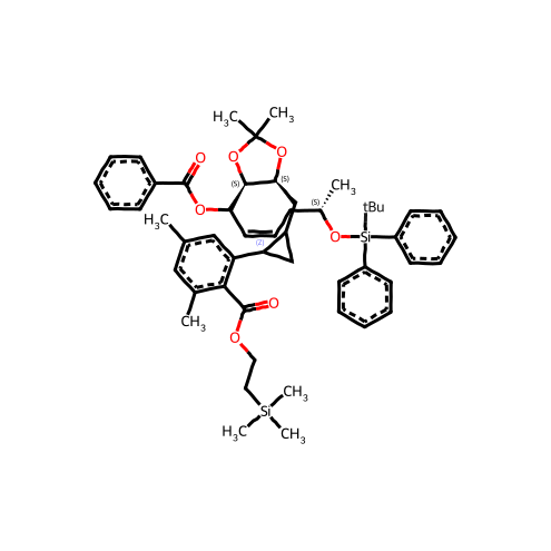 Cc1cc(C)c(C(=O)OCC[Si](C)(C)C)c(C2CC2C[C@@H]2OC(C)(C)O[C@@H]2C(/C=C\C[C@H](C)O[Si](c2ccccc2)(c2ccccc2)C(C)(C)C)OC(=O)c2ccccc2)c1